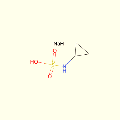 O=S(=O)(O)NC1CC1.[NaH]